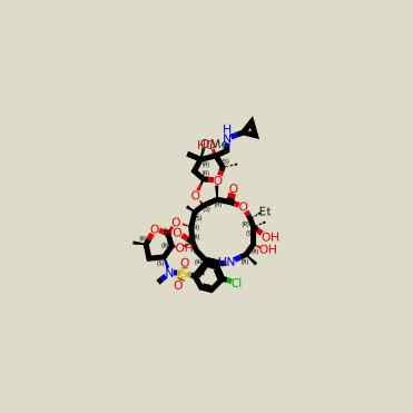 CC[C@H]1OC(=O)[C@H](C)[C@@H](O[C@H]2C[C@@](C)(OC)[C@](O)(CNC3CC3)[C@H](C)O2)[C@H](C)[C@@H](O[C@@H]2O[C@H](C)C[C@H](N(C)S(=O)(=O)c3ccc(Cl)cc3)[C@H]2O)[C@](C)(O)C[C@@H](C)CN[C@H](C)[C@@H](O)[C@]1(C)O